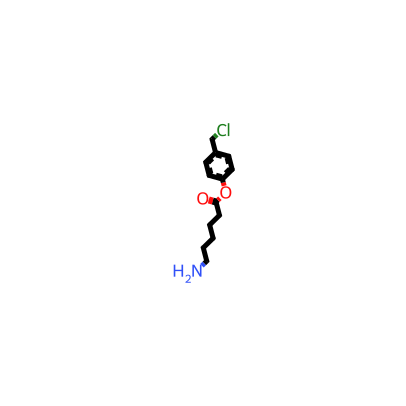 NCCCCCC(=O)Oc1ccc(CCl)cc1